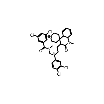 CN(C[C@@H](CCC1C(=O)N(C)C2C=CC=CC2C12CCNCC2)c1ccc(Cl)c(Cl)c1)C(=O)c1cc(Cl)cc(Cl)c1